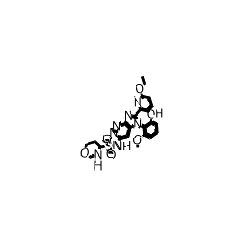 CCOC1=NC(c2nc3nnc(NS(=O)(=O)C4CCOCN4)cc3n2-c2c(O)cccc2OC)=C=C=C1